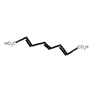 O=C(O)C=CC=CC=CC(=O)O